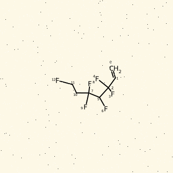 C=CC(F)(F)C(F)C(F)(F)CCF